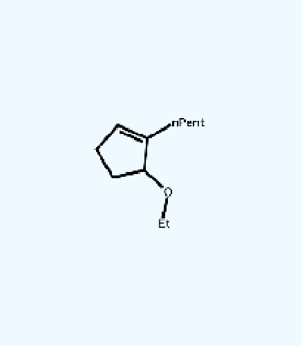 CCCCCC1=CCCC1OCC